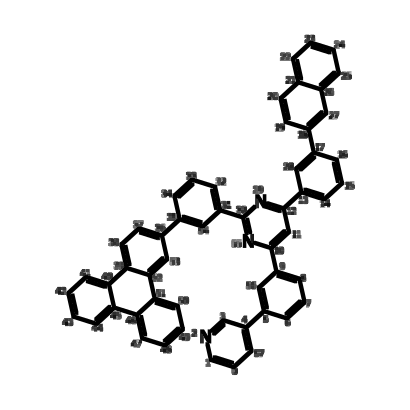 c1cncc(-c2cccc(-c3cc(-c4cccc(-c5ccc6ccccc6c5)c4)nc(-c4cccc(-c5ccc6c7ccccc7c7ccccc7c6c5)c4)n3)c2)c1